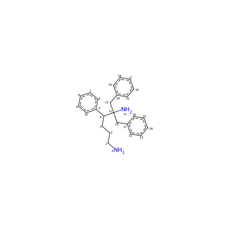 NCCCC(c1ccccc1)C(N)(Cc1ccccc1)Cc1ccccc1